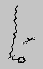 CC(=O)O.CCCCCCCCCCCCCCCC[N+](C)(C)Cc1ccccc1